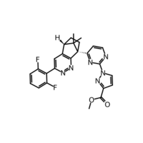 COC(=O)c1ccn(-c2nccc([C@]34CC[C@@H](c5cc(-c6c(F)cccc6F)nnc53)C4(C)C)n2)n1